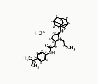 CCCN1C(=NC23CC4CC(CC(C4)C2)C3)SCC1CC(=O)Nc1ccc(C(C)C)cc1.Cl